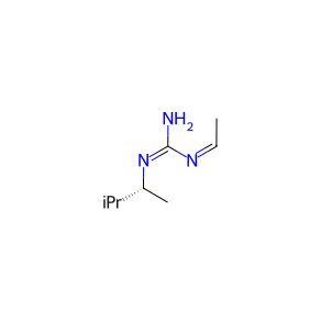 C/C=N\C(N)=N/[C@H](C)C(C)C